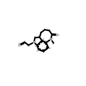 CN1C(=O)CCCC2CN(CC=O)c3cccc1c32